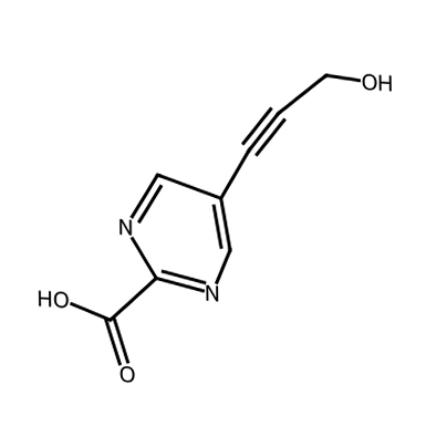 O=C(O)c1ncc(C#CCO)cn1